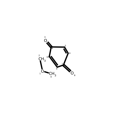 COC.O=C1C=CC(=O)C=C1